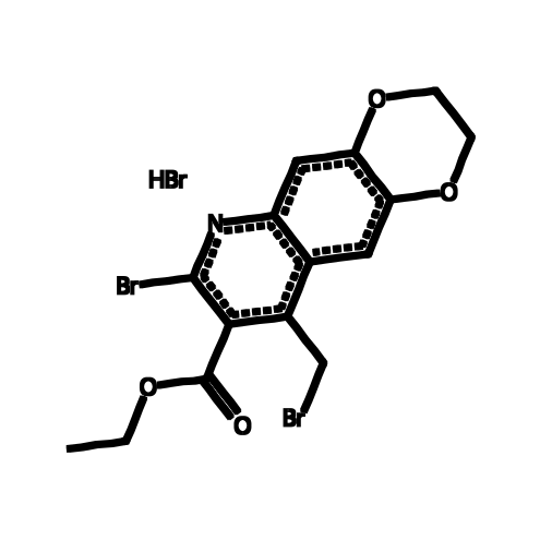 Br.CCOC(=O)c1c(Br)nc2cc3c(cc2c1CBr)OCCO3